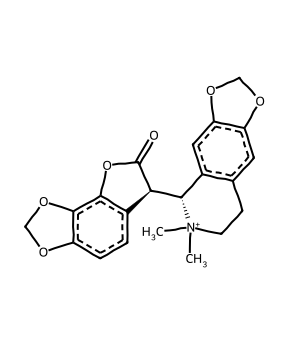 C[N+]1(C)CCc2cc3c(cc2[C@H]1[C@@H]1C(=O)Oc2c1ccc1c2OCO1)OCO3